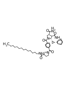 CCCCCCCCCCCCCCNC(=O)C1CCN(C(=O)c2ccc(C(=O)N3CC(C(N)=O)C(C(N)=O)C3[C@H]3C[C@H]3c3ccccc3)cc2)C1